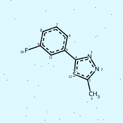 Cc1nnc(-c2cc[c]c(F)c2)s1